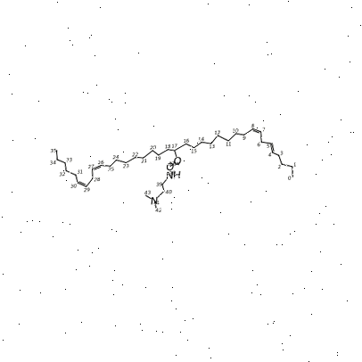 CCCC/C=C/C/C=C\CCCCCCCCC(CCCCCCCC/C=C\C/C=C\CCCCC)OONCCN(C)C